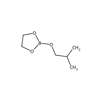 CC(C)COB1OCCO1